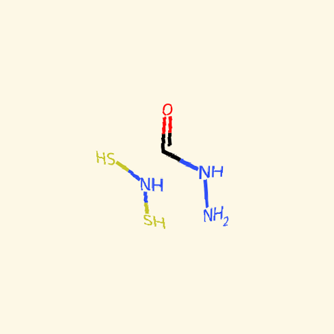 NNC=O.SNS